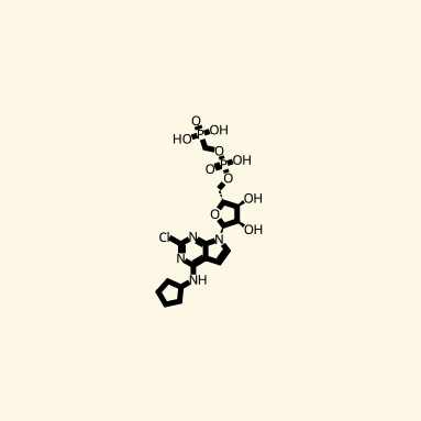 O=P(O)(O)COP(=O)(O)OC[C@H]1O[C@@H](n2ccc3c(NC4CCCC4)nc(Cl)nc32)[C@H](O)[C@@H]1O